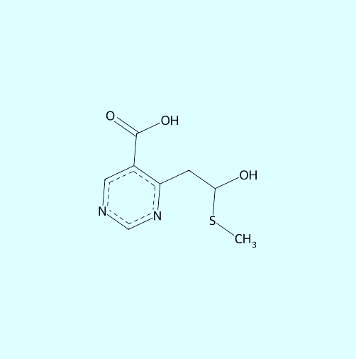 CSC(O)Cc1ncncc1C(=O)O